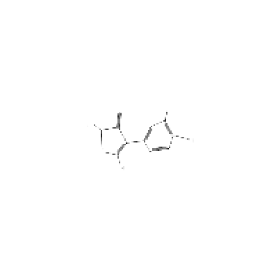 NC1=C(c2ccc(Br)c(C(F)(F)F)c2)C(=O)C(C(F)(F)F)S1